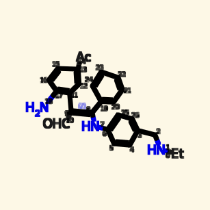 CCNCc1ccc(N/C(=C(\C=O)c2cc(C(C)=O)ccc2N)c2ccccc2)cc1